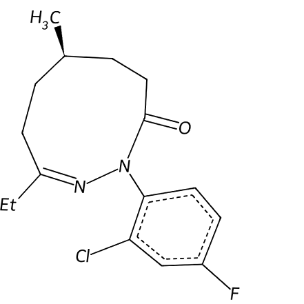 CC/C1=N/N(c2ccc(F)cc2Cl)C(=O)CC[C@H](C)CC1